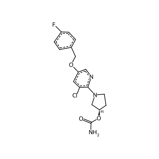 NC(=O)O[C@@H]1CCN(c2ncc(OCc3ccc(F)cc3)cc2Cl)C1